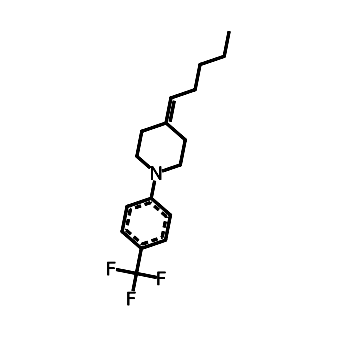 CCCCC=C1CCN(c2ccc(C(F)(F)F)cc2)CC1